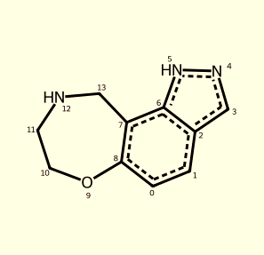 c1cc2cn[nH]c2c2c1OCCNC2